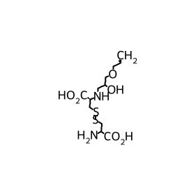 C=CCOCC(O)CN[C@@H](CSSCC(N)C(=O)O)C(=O)O